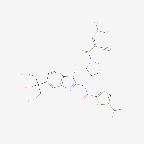 CCC(O)(CC)c1ccc2c(c1)nc(NC(=O)c1ccc(C(F)F)s1)n2C[C@H]1CCCN1C(=O)C(C#N)=CC(C)C